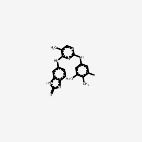 COc1cc(Nc2ncc(C)c(Nc3ccc4oc(=O)[nH]c4c3)n2)cc(F)c1C